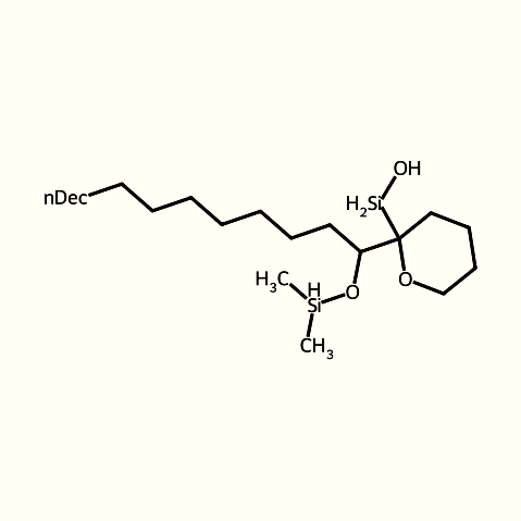 CCCCCCCCCCCCCCCCCC(O[SiH](C)C)C1([SiH2]O)CCCCO1